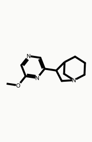 COc1cncc(C2CN3CCCC2C3)n1